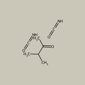 CC(=O)C(C)C.N=C=O.N=C=O